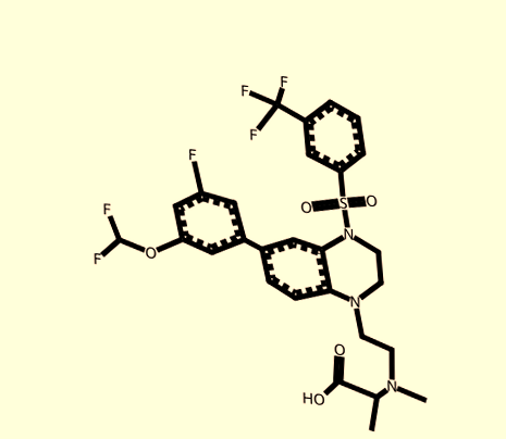 CC(C(=O)O)N(C)CCN1CCN(S(=O)(=O)c2cccc(C(F)(F)F)c2)c2cc(-c3cc(F)cc(OC(F)F)c3)ccc21